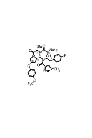 CN[C@@H](C)C(=O)N[C@H](C(=O)N1C[C@@H](Oc2ccc(OC(F)(F)F)cc2)C[C@H]1CN(CCc1ccc(F)cc1)C(=O)c1cn(C)cn1)C(C)(C)C